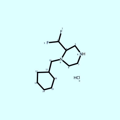 Cl.FC(F)C1CNCCN1CC1CCCCC1